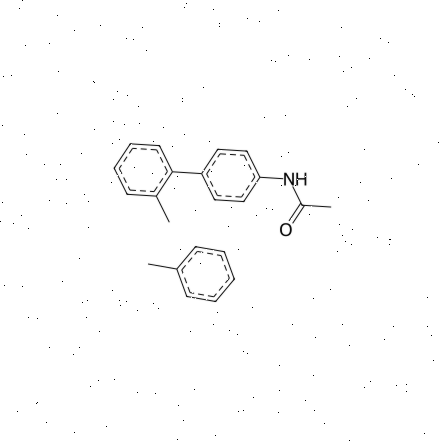 CC(=O)Nc1ccc(-c2ccccc2C)cc1.Cc1ccccc1